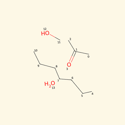 CC(C)=O.CCCCCCC.CO.O